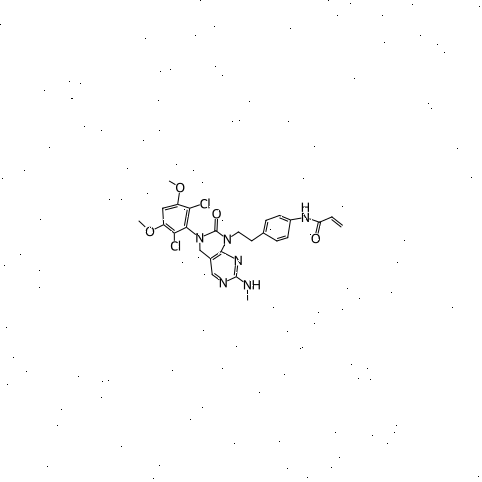 C=CC(=O)Nc1ccc(CCN2C(=O)N(c3c(Cl)c(OC)cc(OC)c3Cl)Cc3cnc(NC)nc32)cc1